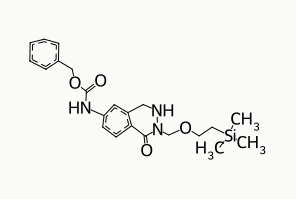 C[Si](C)(C)CCOCN1NCc2cc(NC(=O)OCc3ccccc3)ccc2C1=O